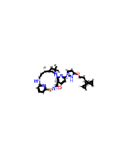 C[C@H]1CCNc2cccc(n2)SNC(=O)c2ccc(N3C=CC(OCCC4C5(CC5)C45CC5)N3)nc2N2CC1CC2(C)C